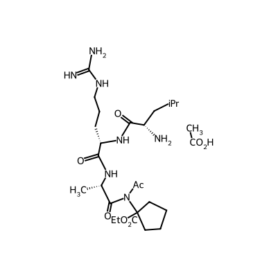 CC(=O)O.CCOC(=O)C1(N(C(C)=O)C(=O)[C@H](C)NC(=O)[C@H](CCCNC(=N)N)NC(=O)[C@@H](N)CC(C)C)CCCC1